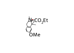 CCOC(=O)C=C1C2Cc3ccc(OC)cc3C1(C)CCN2C